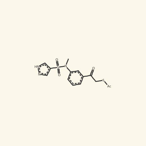 CC(=O)SCC(=O)c1cccc(N(C)S(=O)(=O)c2cn[nH]c2)c1